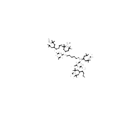 CCCC(Nc1nc(Cl)nc(N(CCCCCCN(c2nc(Cl)nc(NC(CCC)C3CC(C)(C)N(OC)C(C)(C)C3)n2)C2CC(C)(C)N(OC)C(C)(C)C2)C2CC(C)(C)N(OC)C(C)(C)C2)n1)C1CC(C)(C)N(OC)C(C)(C)C1